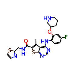 Cc1c(C(=O)NCc2nccs2)sc2ncnc(Nc3ccc(F)cc3OC3CCCNC3)c12